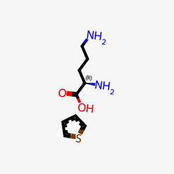 NCCC[C@@H](N)C(=O)O.c1ccsc1